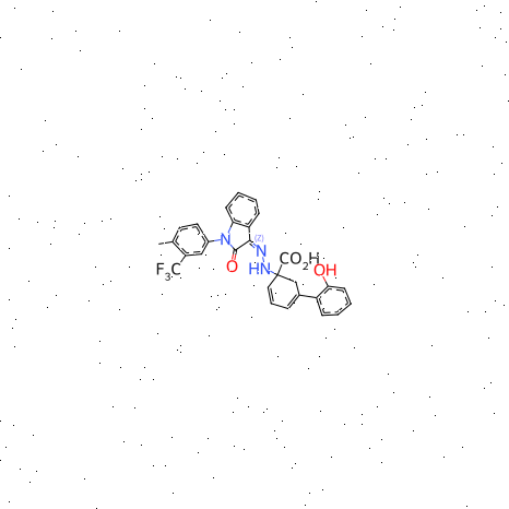 Cc1ccc(N2C(=O)/C(=N\NC3(C(=O)O)C=CC=C(c4ccccc4O)C3)c3ccccc32)cc1C(F)(F)F